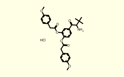 COc1ccc(CC(=O)Oc2ccc(C(=O)C(N)C(C)(C)C)cc2OC(=O)Cc2ccc(OC)cc2)cc1.Cl